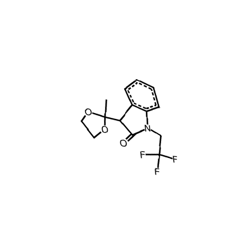 CC1(C2C(=O)N(CC(F)(F)F)c3ccccc32)OCCO1